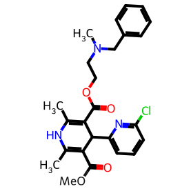 COC(=O)C1=C(C)NC(C)=C(C(=O)OCCN(C)Cc2ccccc2)C1c1cccc(Cl)n1